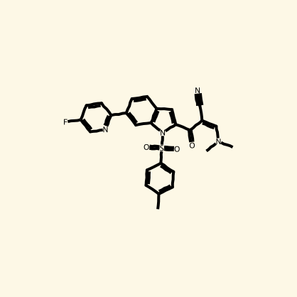 Cc1ccc(S(=O)(=O)n2c(C(=O)/C(C#N)=C\N(C)C)cc3ccc(-c4ccc(F)cn4)cc32)cc1